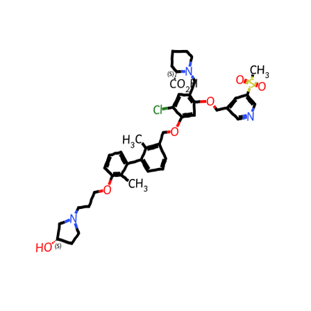 Cc1c(COc2cc(OCc3cncc(S(C)(=O)=O)c3)c(CN3CCCC[C@H]3C(=O)O)cc2Cl)cccc1-c1cccc(OCCCN2CC[C@H](O)C2)c1C